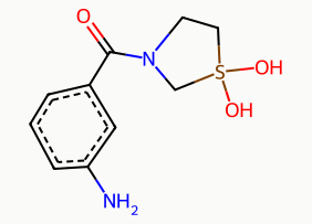 Nc1cccc(C(=O)N2CCS(O)(O)C2)c1